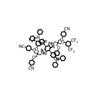 N#Cc1ccc(OCC(COc2ccc(C#N)cc2)(COc2cc(C(F)(F)F)cc(C(F)(F)F)c2)Cn2nc3c(-c4ccc(N(c5ccccc5)c5ccccc5)cc4)c4n[n+](CC(COc5ccc(C#N)cc5)(COc5ccc(C#N)cc5)COc5cc(C(F)(F)F)cc(C(F)(F)F)c5)[n-]c4c(-c4ccc(N(c5ccccc5)c5ccccc5)cc4)c3n2)cc1